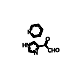 O=CC(=O)c1c[nH]cn1.c1ccncc1